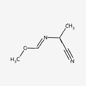 COC=NC(C)C#N